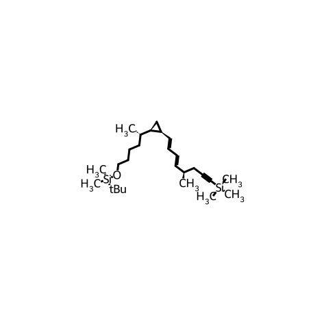 C[C@@H](/C=C/C=C/[C@@H]1C[C@@H]1[C@@H](C)CCCCO[Si](C)(C)C(C)(C)C)CC#C[Si](C)(C)C